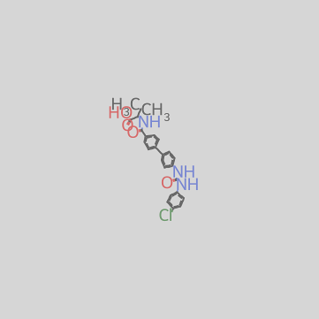 CC(C)[C@H](NC(=O)c1ccc(-c2ccc(NC(=O)Nc3ccc(Cl)cc3)cc2)cc1)C(=O)O